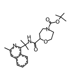 Cc1cc2ccccc2c(C(C)(C)NC(=O)C2CCN(C(=O)OC(C)(C)C)CCO2)n1